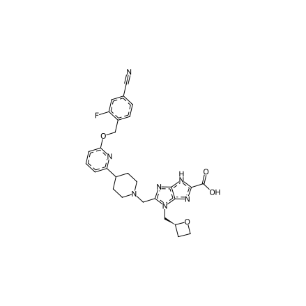 N#Cc1ccc(COc2cccc(C3CCN(Cc4nc5[nH]c(C(=O)O)nc5n4C[C@@H]4CCO4)CC3)n2)c(F)c1